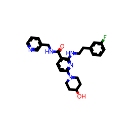 O=C(NCc1cccnc1)c1ccc(N2CCC(O)CC2)nc1NCCc1cccc(F)c1